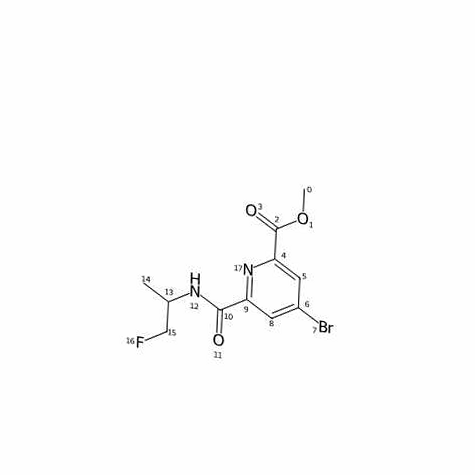 COC(=O)c1cc(Br)cc(C(=O)NC(C)CF)n1